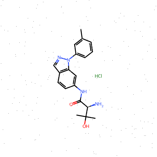 Cc1cccc(-n2ncc3ccc(NC(=O)[C@@H](N)C(C)(C)O)cc32)c1.Cl